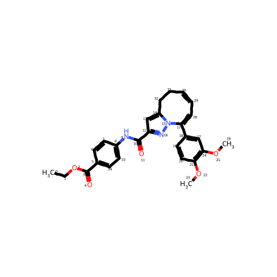 CCOC(=O)c1ccc(NC(=O)c2cc3n(n2)/C(c2ccc(OC)c(OC)c2)=C\C=C/CC3)cc1